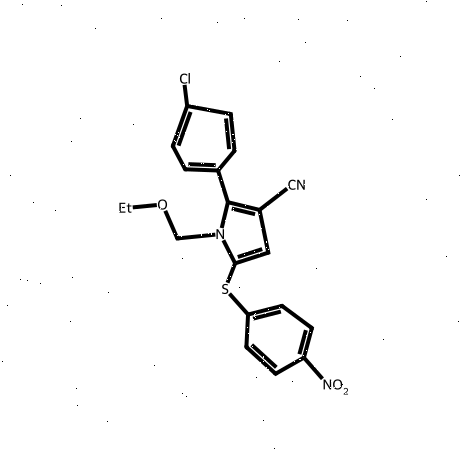 CCOCn1c(Sc2ccc([N+](=O)[O-])cc2)cc(C#N)c1-c1ccc(Cl)cc1